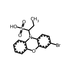 CCC(N1c2ccccc2Oc2cc(Br)ccc21)S(=O)(=O)O